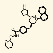 CCN(C/C(=C\c1ccc(C(=O)NOC2CCCCO2)cc1)COc1cccc2ccccc12)C1CCNC1